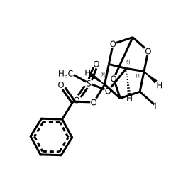 CS(=O)(=O)O[C@H]1C2OC3OC(C(I)[C@H]1O3)[C@@H]2OC(=O)c1ccccc1